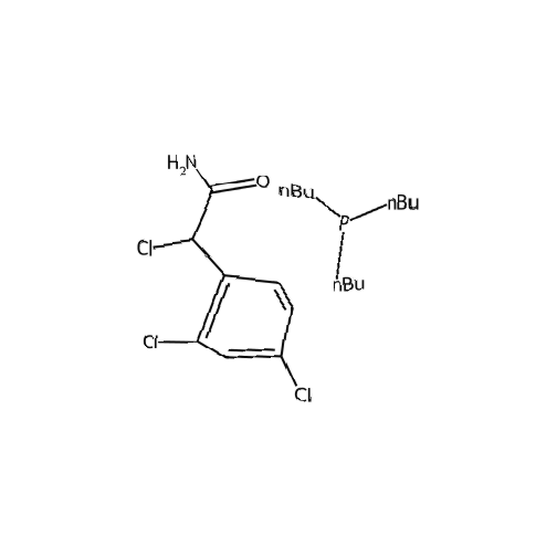 CCCCP(CCCC)CCCC.NC(=O)C(Cl)c1ccc(Cl)cc1Cl